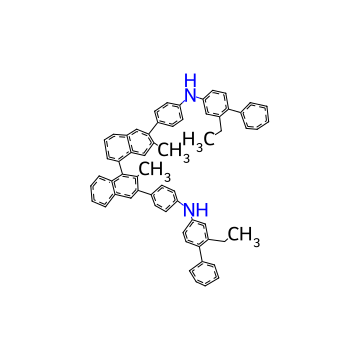 CCc1cc(Nc2ccc(-c3cc4cccc(-c5c(C)c(-c6ccc(Nc7ccc(-c8ccccc8)c(CC)c7)cc6)cc6ccccc56)c4cc3C)cc2)ccc1-c1ccccc1